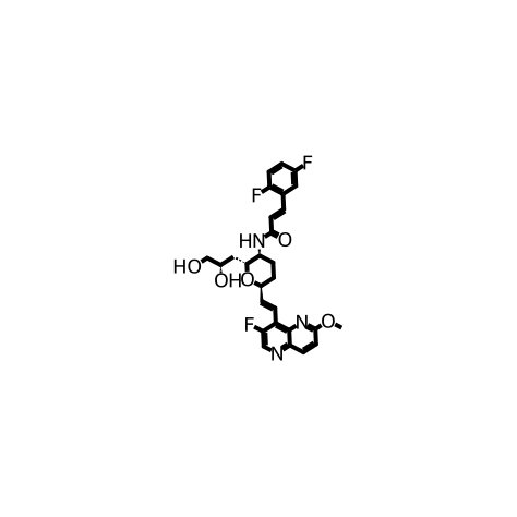 COc1ccc2ncc(F)c(/C=C/[C@@H]3CC[C@@H](NC(=O)/C=C/c4cc(F)ccc4F)[C@@H](C[C@H](O)CO)O3)c2n1